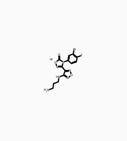 I.NCCCNc1nonc1-c1noc(=O)n1-c1ccc(F)c(Br)c1